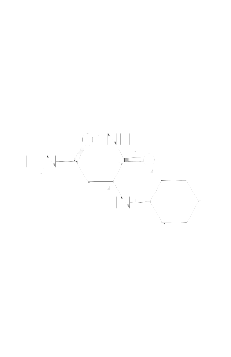 NC(=O)CC(NC1CCCCC1)C(N)=O